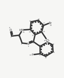 O=CC1CN=C(c2ncccc2F)c2c(ccc(Br)c2Cl)N1